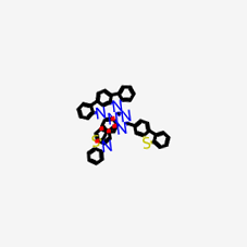 c1ccc(-c2nc(-c3ccc4c(c3)sc3ccccc34)nc(-n3c4ccccc4c4ccc5c6ccccc6n(-c6cccc(-c7nc8ccccc8s7)c6)c5c43)n2)cc1